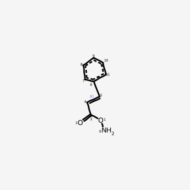 NOC(=O)/C=C/c1ccccc1